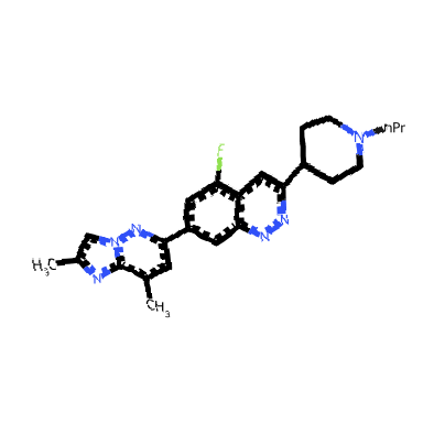 CCCN1CCC(c2cc3c(F)cc(-c4cc(C)c5nc(C)cn5n4)cc3nn2)CC1